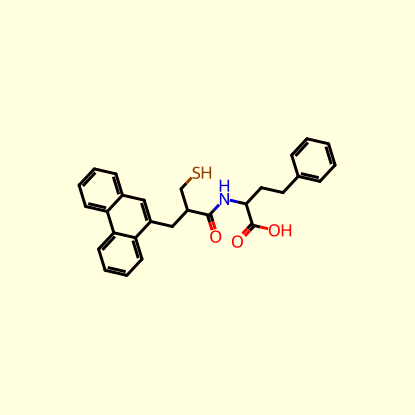 O=C(NC(CCc1ccccc1)C(=O)O)C(CS)Cc1cc2ccccc2c2ccccc12